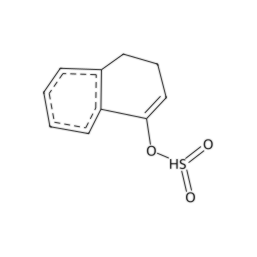 O=[SH](=O)OC1=CCCc2ccccc21